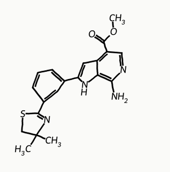 COC(=O)c1cnc(N)c2[nH]c(-c3cccc(C4=NC(C)(C)CS4)c3)cc12